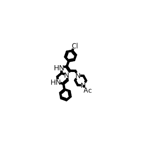 CC(=O)N1CCN(CC2=C(c3ccc(Cl)cc3)NC3CNC(c4ccccc4)=CN23)CC1